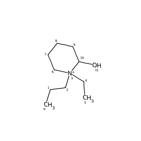 CCC[N+]1(CC)CCCCC1O